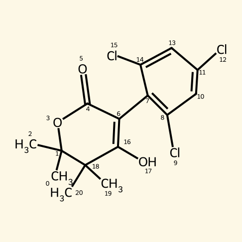 CC1(C)OC(=O)C(c2c(Cl)cc(Cl)cc2Cl)=C(O)C1(C)C